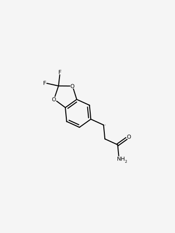 NC(=O)C[CH]c1ccc2c(c1)OC(F)(F)O2